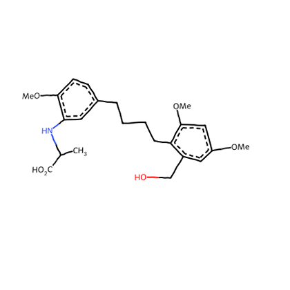 COc1cc(CO)c(CCCCc2ccc(OC)c(NC(C)C(=O)O)c2)c(OC)c1